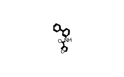 O=C(Nc1cccc(-c2ccccc2)c1)c1ccoc1